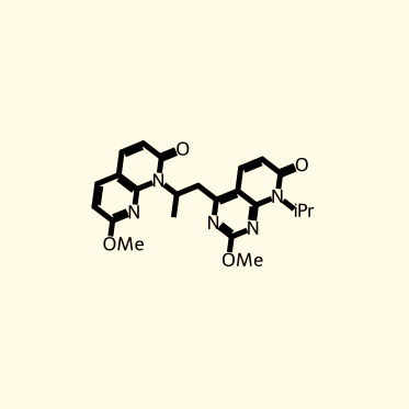 COc1ccc2ccc(=O)n(C(C)Cc3nc(OC)nc4c3ccc(=O)n4C(C)C)c2n1